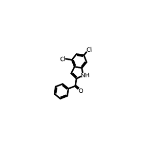 O=C(c1ccccc1)c1cc2c(Cl)cc(Cl)cc2[nH]1